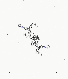 CCC(C)(c1ccc(N(c2ccc(C)cc2)c2ccc(/C=C/c3ccccc3)cc2)cc1)c1ccc2c(c1)C(C)(C)c1cc(C(CC)(CC)c3ccc(N(c4ccc(C)cc4)c4ccc(/C=C/c5ccccc5)cc4)cc3)ccc1-2